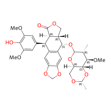 COc1cc([C@@H]2c3cc4c(cc3[C@@H](OC3O[C@@H]5CO[C@@H](C)O[C@H]5[C@H](OC)[C@H]3C)[C@H]3COC(=O)[C@H]23)OCO4)cc(OC)c1O